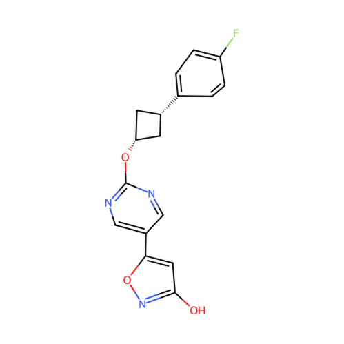 Oc1cc(-c2cnc(O[C@H]3C[C@@H](c4ccc(F)cc4)C3)nc2)on1